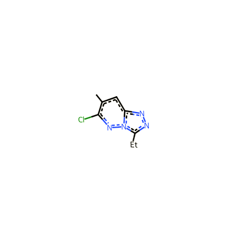 CCc1nnc2cc(C)c(Cl)nn12